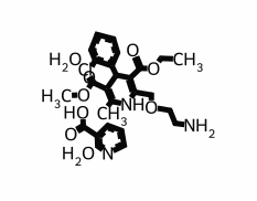 CCOC(=O)C1=C(COCCN)NC(C)=C(C(=O)OC)C1c1ccccc1Cl.O.O.O=C(O)c1cccnc1